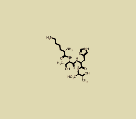 C[C@@H](O)[C@H](NC(=O)[C@H](Cc1c[nH]cn1)NC(=O)[C@@H](NC(=O)[C@@H](N)CCCCN)[C@@H](C)O)C(=O)O